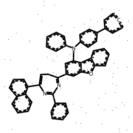 C1=C(c2cccc3ccccc23)N=C(c2ccccc2)N=C(c2cc(N(c3ccccc3)c3ccc(-c4ccccc4)cc3)c3c(c2)oc2ccccc23)C1